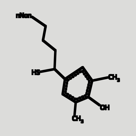 CCCCCCCCCCCCC(S)c1cc(C)c(O)c(C)c1